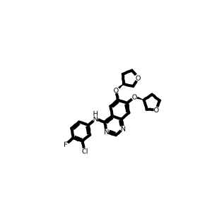 Fc1ccc(Nc2ncnc3cc(O[C@H]4CCOC4)c(O[C@H]4CCOC4)cc23)cc1Cl